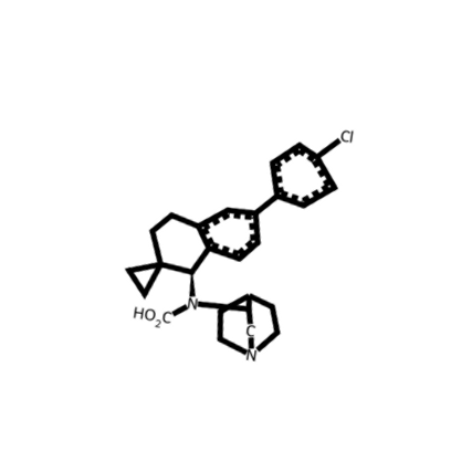 O=C(O)N(C1CN2CCC1CC2)[C@@H]1c2ccc(-c3ccc(Cl)cc3)cc2CCC12CC2